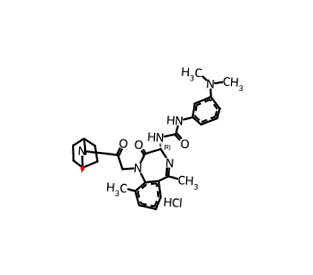 CC1=N[C@@H](NC(=O)Nc2cccc(N(C)C)c2)C(=O)N(CC(=O)N2CC3CCC(CC3)C2)c2c(C)cccc21.Cl